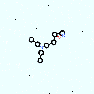 c1ccc(-c2ccc(N(c3ccc(-c4ccccc4)cc3)c3ccc(-c4cccc(-c5cccc6c5oc5ncccc56)c4)cc3)cc2)cc1